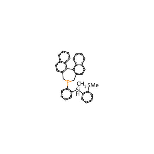 CSc1ccccc1[Si@@H](C)c1ccccc1P1Cc2ccc3ccccc3c2-c2c(ccc3ccccc23)C1